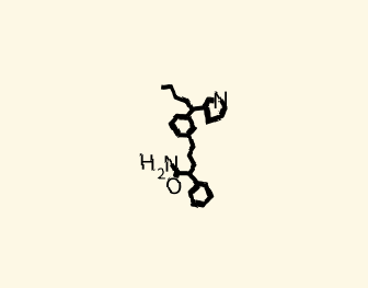 CCCCC(c1cccnc1)c1cccc(CCCC(C(N)=O)c2ccccc2)c1